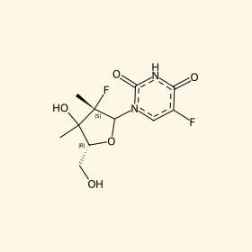 CC1(O)[C@@H](CO)OC(n2cc(F)c(=O)[nH]c2=O)[C@@]1(C)F